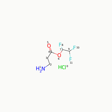 Cl.NCCC(=O)OC(F)C(F)F